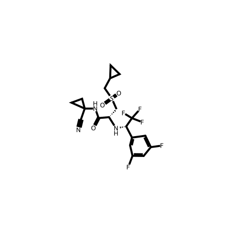 N#CC1(NC(=O)[C@H](CS(=O)(=O)CC2CC2)N[C@@H](c2cc(F)cc(F)c2)C(F)(F)F)CC1